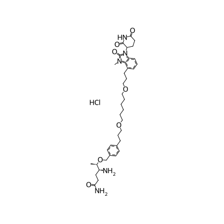 C[C@@H](OCc1ccc(CCCOCCCCCCOCCCc2cccc3c2n(C)c(=O)n3C2CCC(=O)NC2=O)cc1)[C@@H](N)CCC(N)=O.Cl